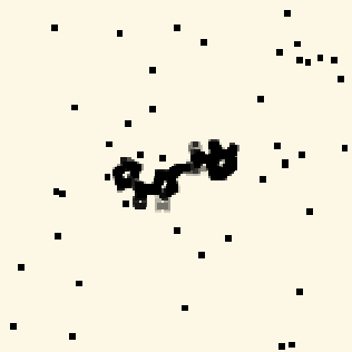 Cc1cccc(C(=O)NCC2CNC(C(=O)N3CCSC3)C2)c1C